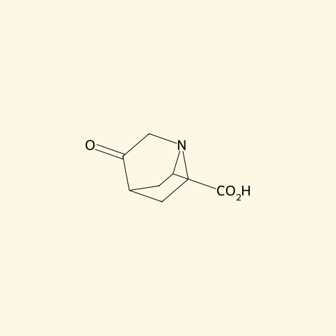 O=C1CN2CCC1CC2C(=O)O